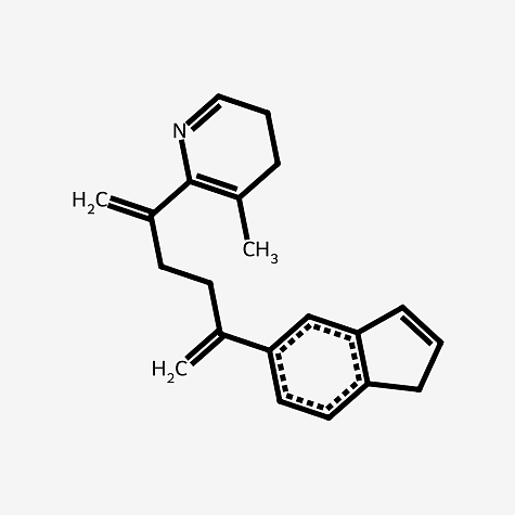 C=C(CCC(=C)c1ccc2c(c1)C=CC2)C1=C(C)CCC=N1